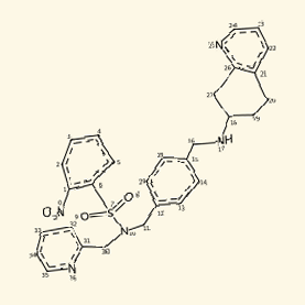 O=[N+]([O-])c1ccccc1S(=O)(=O)N(Cc1ccc(CNC2CCc3cccnc3C2)cc1)Cc1ccccn1